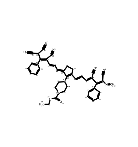 C=N/C(C#N)=C(/C(C#N)=C/C=C/C1=C(N2CCN(C(=O)OCC)CC2)C(=C/C=C/C(C#N)=C(\c2ccccc2)C(C#N)C#N)/CC1)c1ccccc1